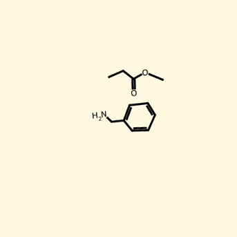 CCC(=O)OC.NCc1ccccc1